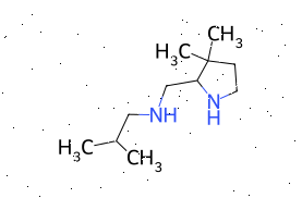 CC(C)CNCC1NCCC1(C)C